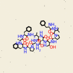 CC(C)[C@H](NC(=O)[C@H](CC(N)=O)NC(=O)[C@@H](NC(=O)[C@@H]1CCCN1C(=O)[C@@H](NC(=O)[C@@H](N)Cc1ccccc1)C(C)C)C(C)O)C(=O)NCC(=O)N1CCC[C@H]1C(=O)N[C@@H](Cc1ccccc1)C(=O)N[C@@H](C)C(=O)N[C@@H](Cc1ccccc1)C(N)=O